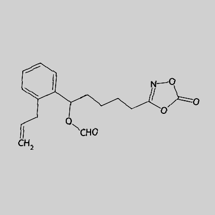 C=CCc1ccccc1C(CCCCc1noc(=O)o1)OC=O